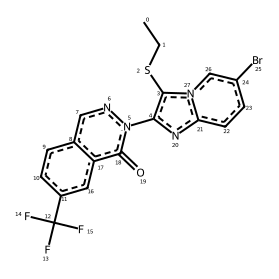 CCSc1c(-n2ncc3ccc(C(F)(F)F)cc3c2=O)nc2ccc(Br)cn12